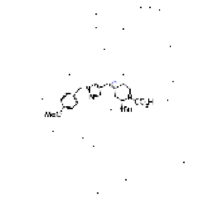 COc1ccc(Cn2cc(/C=C3/CCN(C(=O)O)C(C(C)(C)C)C3)cn2)cc1